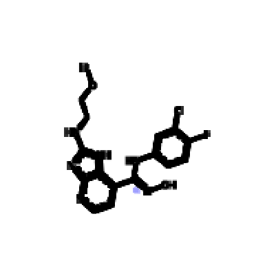 CCOCCNc1nc2nccc(/C(=N/O)Nc3ccc(F)c(Cl)c3)c2[nH]1